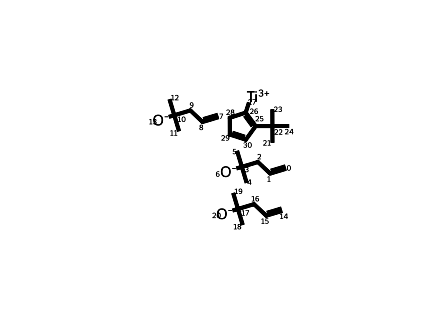 C=CCC(C)(C)[O-].C=CCC(C)(C)[O-].C=CCC(C)(C)[O-].CC(C)(C)C1=[C]([Ti+3])CC=C1